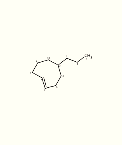 CCCC1CC/C=C/CCC1